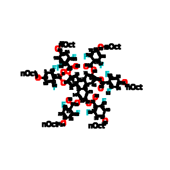 CCCCCCCCOc1cc(F)c(C(=O)Oc2cc3c4cc(OC(=O)c5c(F)cc(OCCCCCCCC)cc5F)c(OC(=O)c5c(F)cc(OCCCCCCCC)cc5F)cc4c4cc(OC(=O)c5c(F)cc(OCCCCCCCC)cc5F)c(OC(=O)c5c(F)cc(OCCCCCCCC)cc5F)cc4c3cc2OC(=O)c2c(F)cc(OCCCCCCCC)cc2F)c(F)c1